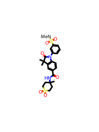 CNS(=O)(=O)c1cccc(N2C(=O)C(C)(C)c3cc(C(=O)NC4(C)CCS(=O)(=O)CC4)ccc32)c1